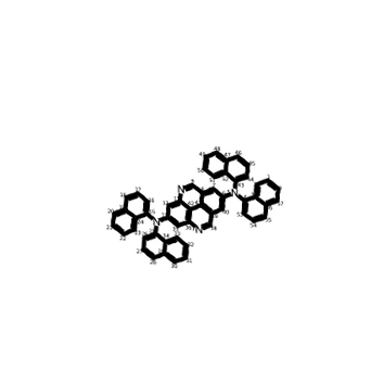 c1ccc2c(N(c3cc4cnc5cc(N(c6cccc7ccccc67)c6cccc7ccccc67)cc6ncc(c3)c4c56)c3cccc4ccccc34)cccc2c1